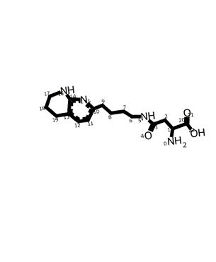 NC(CC(=O)NCCCCc1ccc2c(n1)NCCC2)C(=O)O